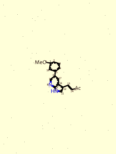 COc1cccc(-c2cnc3[nH]cc(/C=C/C(C)=O)c3c2)c1